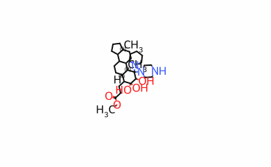 COC(=O)CCC1[C@@H]2CCC3C4CCC[C@@]4(C)CCC3[C@@]2(C)C(N2CCCCC2)(N2CCNCC2)C(O)C1(O)O